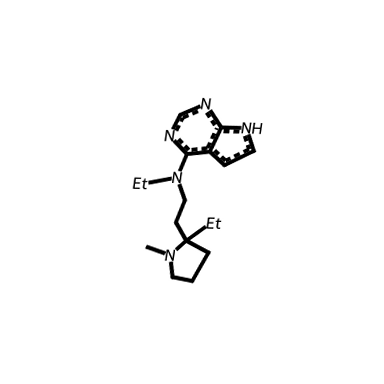 CCN(CCC1(CC)CCCN1C)c1ncnc2[nH]ccc12